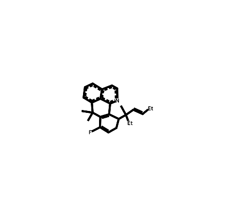 CCC=CC(C)(CC)C1CC=C(F)C2=C1c1nccc3cccc(c13)C2(C)C